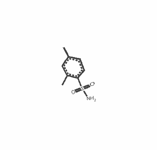 Cc1ccc(S(N)(=O)=O)c(C)c1